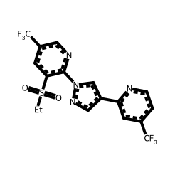 CCS(=O)(=O)c1cc(C(F)(F)F)cnc1-n1cc(-c2cc(C(F)(F)F)ccn2)cn1